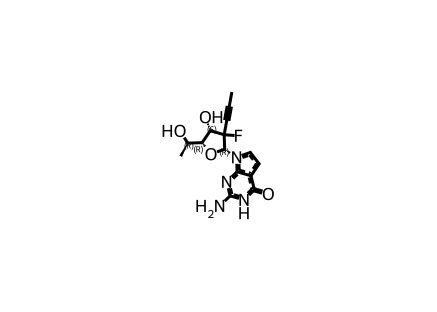 CC#CC1(F)[C@@H](O)[C@@H]([C@@H](C)O)O[C@H]1n1ccc2c(=O)[nH]c(N)nc21